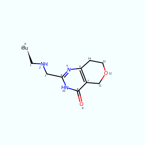 CC[C@H](C)CNCc1nc2c(c(=O)[nH]1)COCC2